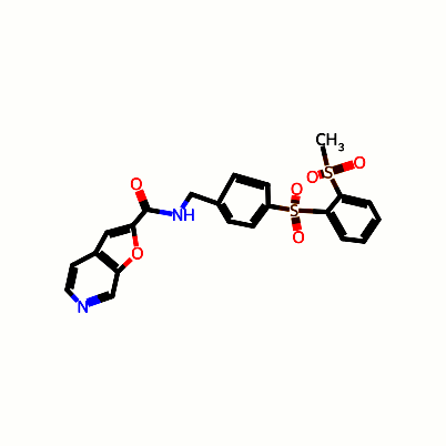 CS(=O)(=O)c1ccccc1S(=O)(=O)c1ccc(CNC(=O)c2cc3ccncc3o2)cc1